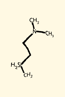 C[SiH2]CCN(C)C